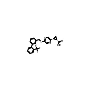 O=C(O)[C@H]1C[C@@H]1c1cnc(OCc2cccc(-c3ccccc3C(F)(F)F)c2)cn1